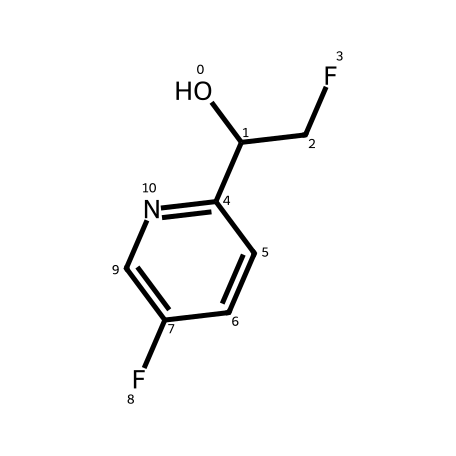 OC(CF)c1ccc(F)cn1